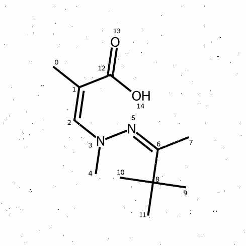 CC(=CN(C)N=C(C)C(C)(C)C)C(=O)O